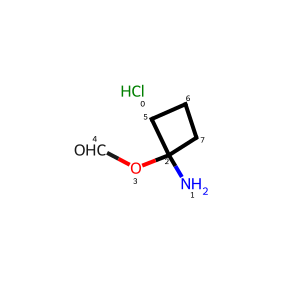 Cl.NC1(OC=O)CCC1